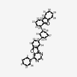 c1ccc(-c2ncnc3c2oc2ccc(-c4cccc(-c5cccc6c5oc5ccccc56)c4)cc23)cc1